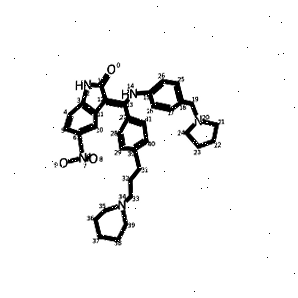 O=C1Nc2ccc([N+](=O)[O-])cc2/C1=C(/Nc1ccc(CN2CCCC2)cc1)c1ccc(CCCN2CCCCC2)cc1